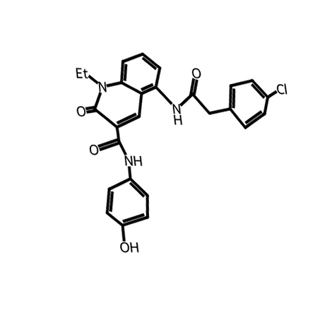 CCn1c(=O)c(C(=O)Nc2ccc(O)cc2)cc2c(NC(=O)Cc3ccc(Cl)cc3)cccc21